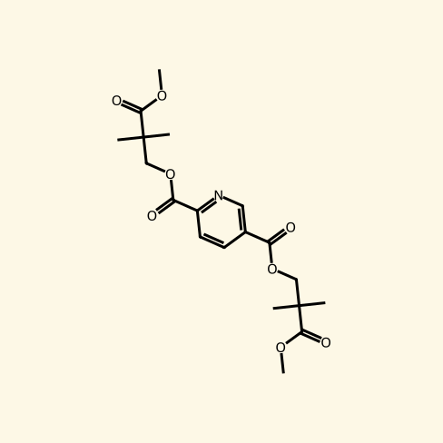 COC(=O)C(C)(C)COC(=O)c1ccc(C(=O)OCC(C)(C)C(=O)OC)nc1